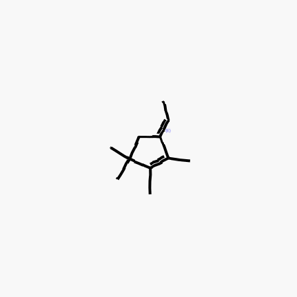 C/C=C1\CC(C)(C)C(C)=C1C